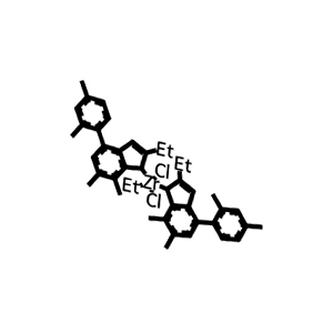 CCC1=Cc2c(-c3ccc(C)cc3C)cc(C)c(C)c2[CH]1[Zr]([Cl])([Cl])([CH2]C)[CH]1C(CC)=Cc2c(-c3ccc(C)cc3C)cc(C)c(C)c21